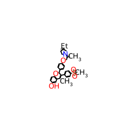 CC[C@@H]1CCN([C@@H](C)COc2ccc(C3Oc4ccc(O)cc4C(C)=C3c3ccc(S(C)(=O)=O)cc3)cc2)C1